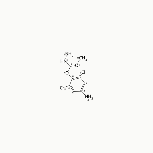 COC(NN)Oc1c(Cl)cc(N)cc1Cl